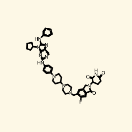 O=C1CCC(N2Cc3cc(CN4CCN(C5CCN(c6ccc(Nc7ncc8nc(Nc9ccccc9)n(C9CCCC9)c8n7)cc6)CC5)CC4)c(F)cc3C2=O)C(=O)N1